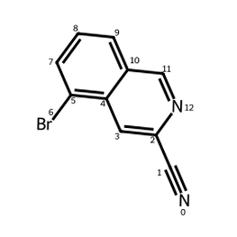 N#Cc1cc2c(Br)cccc2cn1